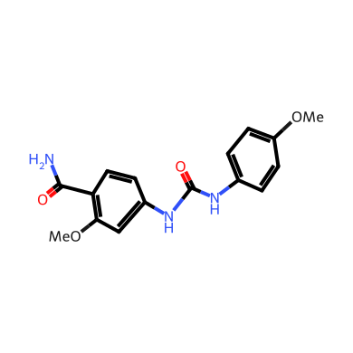 COc1ccc(NC(=O)Nc2ccc(C(N)=O)c(OC)c2)cc1